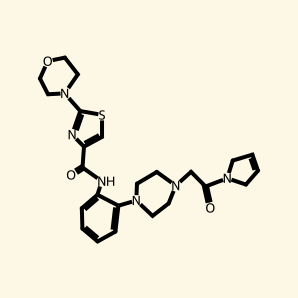 O=C(Nc1ccccc1N1CCN(CC(=O)N2CC=CC2)CC1)c1csc(N2CCOCC2)n1